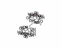 NC(CCCCC(N)(C(P(=O)(O)O)P(=O)(O)O)C(P(=O)(O)O)P(=O)(O)O)(C(P(=O)(O)O)P(=O)(O)O)C(P(=O)(O)O)P(=O)(O)O